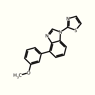 COc1cccc(-c2cccc3c2ncn3-c2nccs2)c1